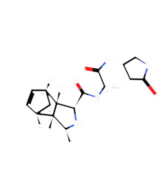 C[C@@H]1N[C@H](C(=O)N[C@@H](C[C@@H]2CCNC2=O)C(N)=O)[C@@H]2[C@H]1[C@@H]1C=C[C@H]2C1